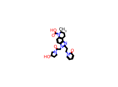 C[C@H]1CCc2c(ccc3c2nc(CCn2ccccc2=O)n3CC(=O)N2CC[C@H](O)C2)N1C(=O)O